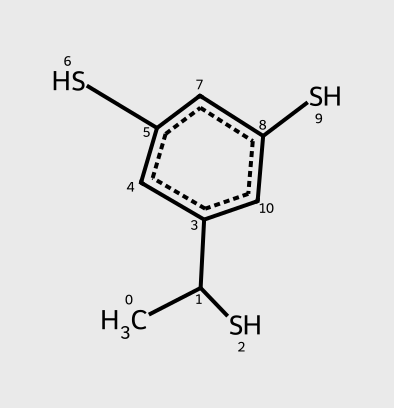 CC(S)c1cc(S)cc(S)c1